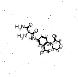 NC(=O)[C@@H](N)C(=O)Nc1ccc(N2CCOCC2=O)c(C(F)F)c1